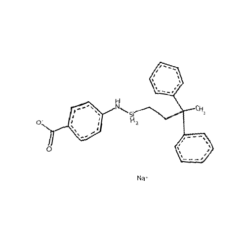 CC(CC[SiH2]Nc1ccc(C(=O)[O-])cc1)(c1ccccc1)c1ccccc1.[Na+]